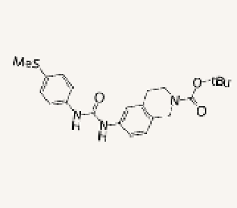 CSc1ccc(NC(=O)Nc2ccc3c(c2)CCN(C(=O)OC(C)(C)C)C3)cc1